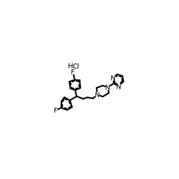 Cl.Fc1ccc(C(CCCN2CCN(c3ncccn3)CC2)c2ccc(F)cc2)cc1